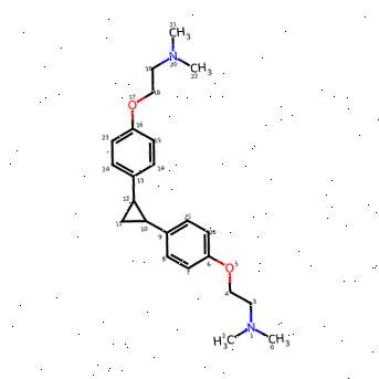 CN(C)CCOc1ccc(C2CC2c2ccc(OCCN(C)C)cc2)cc1